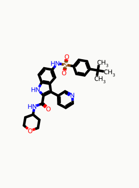 CC(C)(C)c1ccc(S(=O)(=O)Nc2ccc3[nH]c(C(=O)NC4CCOCC4)c(-c4cccnc4)c3c2)cc1